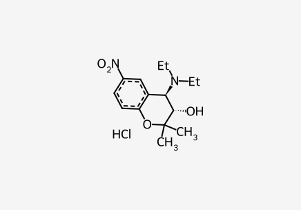 CCN(CC)[C@@H]1c2cc([N+](=O)[O-])ccc2OC(C)(C)[C@H]1O.Cl